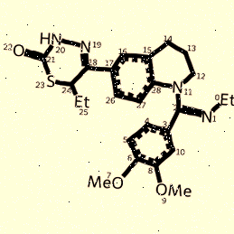 CC/N=C(/c1ccc(OC)c(OC)c1)N1CCCc2cc(C3=NNC(=O)SC3CC)ccc21